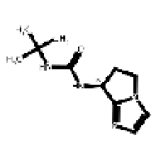 CC(C)(C)NC(=O)N[C@H]1CCn2ccnc21